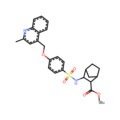 Cc1cc(COc2ccc(S(=O)(=O)NC3C4CCC(C4)C3C(=O)OC(C)(C)C)cc2)c2ccccc2n1